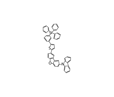 c1ccc([Si](c2ccccc2)(c2ccccc2)c2cccc(-c3ccc(-c4ccc5oc6ccc(-n7c8ccccc8c8ccccc87)cc6c5c4)s3)c2)cc1